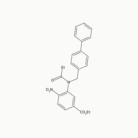 CCOC(=O)c1ccc([N+](=O)[O-])c(N(Cc2ccc(-c3ccccc3)cc2)C(=O)CC)c1